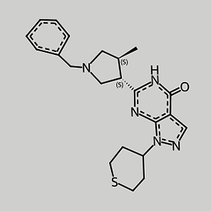 C[C@@H]1CN(Cc2ccccc2)C[C@H]1c1nc2c(cnn2C2CCSCC2)c(=O)[nH]1